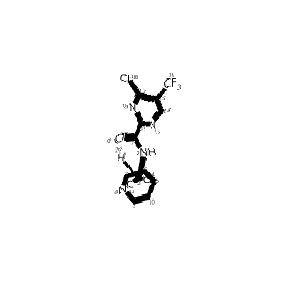 O=C(N[C@@H]1CC2CCN(CC2)C1)c1ncc(C(F)(F)F)c(Cl)n1